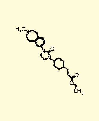 CCOC(=O)CC[C@H]1CC[C@H](N2CCN(c3ccc4c(c3)CCN(C)CC4)C2=O)CC1